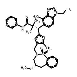 CC[C@H]1Cc2ccccc2S(=O)(=O)N(Cc2nc([C@@H](c3ccc4c(nnn4CC)c3C)C(C)(C)C(=O)Nc3cccnc3)sc2C)C1